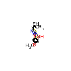 COc1ccc(S(=O)(O)=Nc2nnc(CC(C)C)s2)cc1